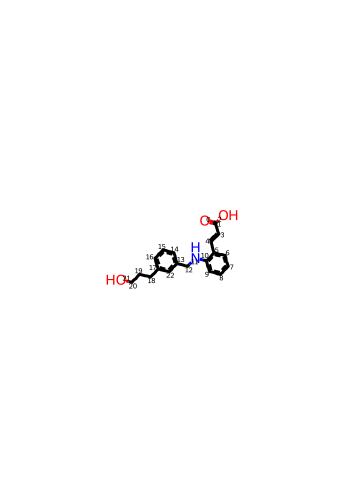 O=C(O)/C=C/c1ccccc1NCc1cccc(CCCO)c1